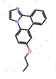 CCCOc1ccc2c(c1)c1ccccc1c1nccn21